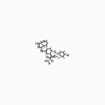 C[C@H](Oc1cc(-c2ccnc3[nH]nc(N)c23)ccc1NS(=O)(=O)C(F)F)c1ccc(F)cc1